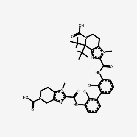 Cn1c(C(=O)Nc2cccc(-c3cccc(NC(=O)c4nc5c(n4C)CCN(C(=O)O)C5(C(C)(C)C)C(C)(C)C)c3Cl)c2Cl)nc2c1CCN(C(=O)O)C2